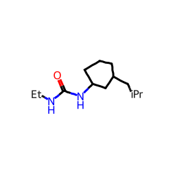 CCNC(=O)NC1CCCC(CC(C)C)C1